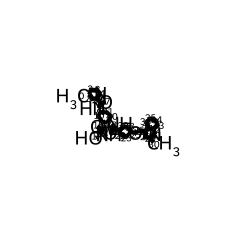 Cc1ccnc(C(=O)N[C@H]2CC[C@](CC(=O)NO)(NC(=O)c3ccc(OCc4cc(C)nc5ccccc45)cc3)CC2)c1